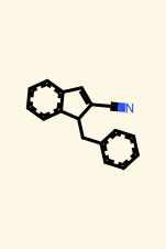 N#CC1=Cc2ccccc2C1Cc1ccccc1